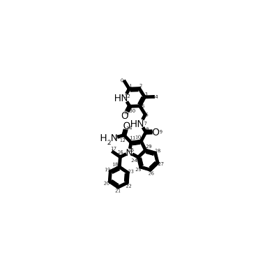 Cc1cc(C)c(CNC(=O)c2c(C(N)=O)n(C(C)c3ccccc3)c3ccccc23)c(=O)[nH]1